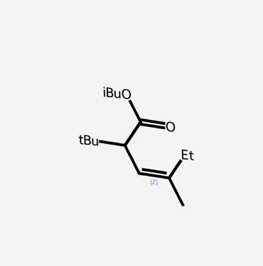 CC/C(C)=C\C(C(=O)OCC(C)C)C(C)(C)C